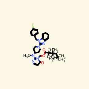 CN(c1nccc(=O)n1COC(=O)C(C)(C)C(C)(C)CC(C)(C)C)C1CCN(c2nc3c(n2Cc2ccc(F)cc2)=CCCC=3)CC1